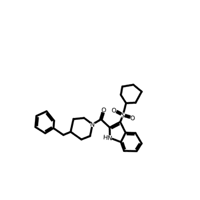 O=C(c1[nH]c2ccccc2c1S(=O)(=O)C1CCCCC1)N1CCC(Cc2ccccc2)CC1